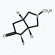 O=C1C[C@@H]2CN(C(=O)O)C[C@@H]2[C@H]1F